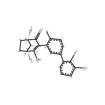 Cc1ccc(-c2cccc(Cl)c2F)cc1C1=C(O)[C@H]2CC[C@H](C2)C1=O